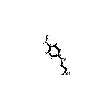 CSc1ccc(OCCO)cc1